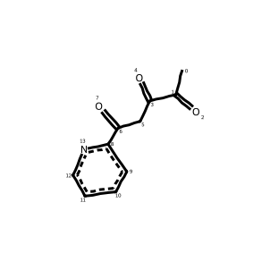 CC(=O)C(=O)CC(=O)c1ccccn1